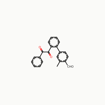 Cc1cc(-c2ccccc2C(=O)C(=O)c2ccccc2)ccc1C=O